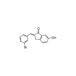 O=C1/C(=C/c2cccc(Br)c2)Cc2ccc(O)cc21